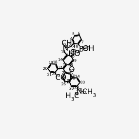 CN(Cc1ccccc1B(O)O)Cc1cc2c(-c3ccccc3C(=O)O)c3ccc4cc(N(C)C)ccc4c3oc-2cc1=O